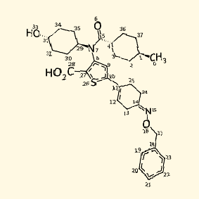 C[C@H]1CC[C@H](C(=O)N(c2cc(C3=CC/C(=N\OCc4ccccc4)CC3)sc2C(=O)O)[C@H]2CC[C@H](O)CC2)CC1